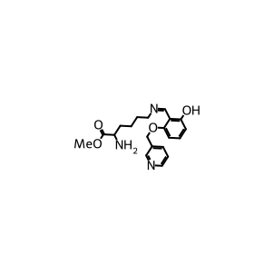 COC(=O)C(N)CCCC/N=C\c1c(O)cccc1OCc1cccnc1